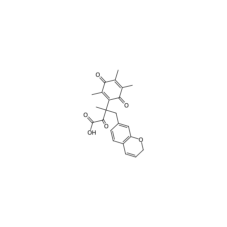 CC1=C(C)C(=O)C(C(C)(Cc2ccc3c(c2)OCC=C3)C(=O)C(=O)O)=C(C)C1=O